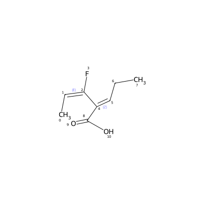 C/C=C(F)\C(=C/CC)C(=O)O